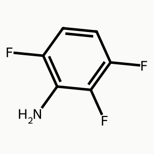 Nc1c(F)ccc(F)c1F